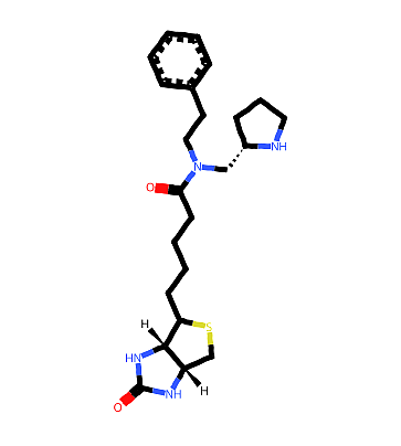 O=C1N[C@H]2CSC(CCCCC(=O)N(CCc3ccccc3)C[C@@H]3CCCN3)[C@H]2N1